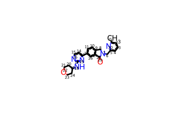 Cc1cccc(CN2Cc3ccc(-c4ccnc(NC5CCOCC5)n4)cc3C2=O)n1